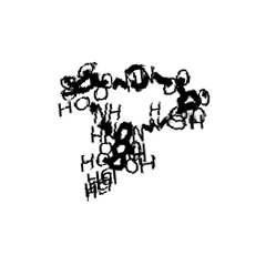 COc1cc(C(=O)OCCCN2CCCN(CCCOC(=O)c3cc(OC)c(OC)c(OC)c3)CC2)cc(OC)c1OC.Cl.Cl.Cl.Cl.O=C1c2c(O)ccc(O)c2C(=O)c2c(NCCNCCO)ccc(NCCNCCO)c21